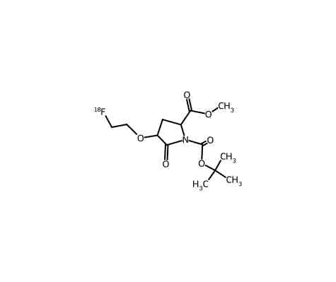 COC(=O)C1CC(OCC[18F])C(=O)N1C(=O)OC(C)(C)C